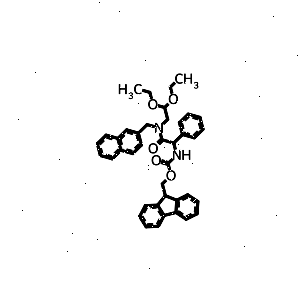 CCOC(CN(Cc1ccc2ccccc2c1)C(=O)C(NC(=O)OCC1c2ccccc2-c2ccccc21)c1ccccc1)OCC